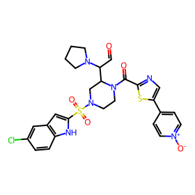 O=CC(C1CN(S(=O)(=O)c2cc3cc(Cl)ccc3[nH]2)CCN1C(=O)c1ncc(-c2cc[n+]([O-])cc2)s1)N1CCCC1